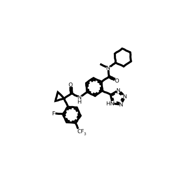 CN(C(=O)c1ccc(NC(=O)C2(c3ccc(C(F)(F)F)cc3F)CC2)cc1-c1nnn[nH]1)C1CCCCC1